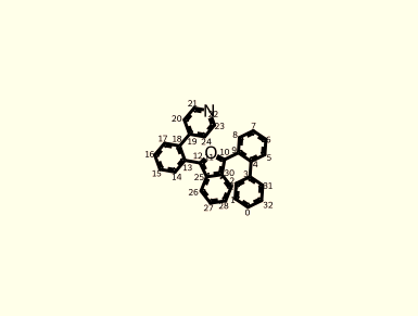 c1ccc(-c2ccccc2-c2oc(-c3ccccc3-c3ccncc3)c3ccccc23)cc1